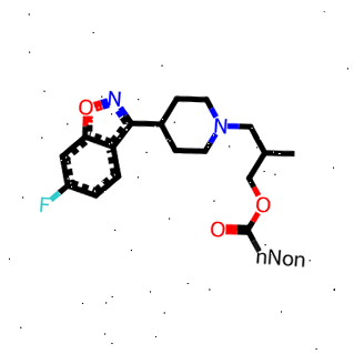 CCCCCCCCCC(=O)OCC(C)CN1CCC(c2noc3cc(F)ccc23)CC1